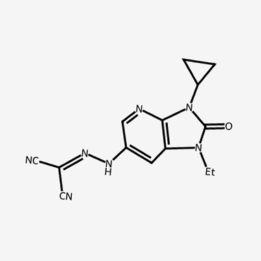 CCn1c(=O)n(C2CC2)c2ncc(NN=C(C#N)C#N)cc21